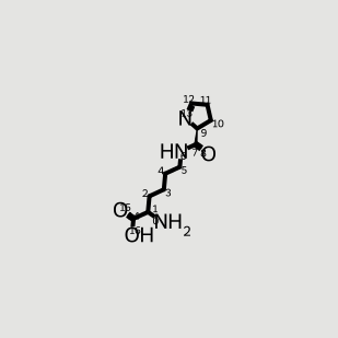 NC(CCCCNC(=O)[C@@H]1CCC=N1)C(=O)O